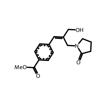 COC(=O)c1ccc(C=C(CO)CN2CCCC2=O)cc1